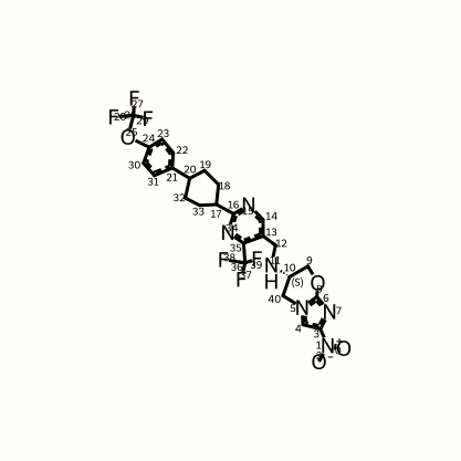 O=[N+]([O-])c1cn2c(n1)OC[C@@H](NCc1cnc(C3CCC(c4ccc(OC(F)(F)F)cc4)CC3)nc1C(F)(F)F)C2